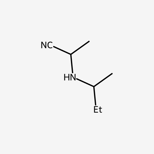 CCC(C)NC(C)C#N